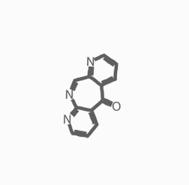 O=c1c2cccnc2cnc2ncccc12